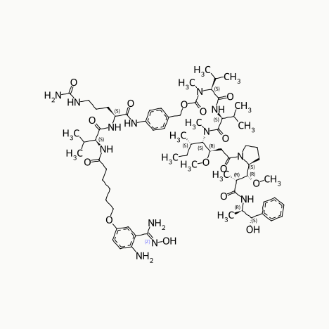 CC[C@H](C)[C@@H]([C@@H](CC(=O)N1CCC[C@H]1[C@H](OC)[C@@H](C)C(=O)N[C@H](C)[C@@H](O)c1ccccc1)OC)N(C)C(=O)[C@@H](NC(=O)[C@H](C(C)C)N(C)C(=O)OCc1ccc(NC(=O)[C@H](CCCNC(N)=O)NC(=O)[C@@H](NC(=O)CCCCCOc2ccc(N)c(/C(N)=N/O)c2)C(C)C)cc1)C(C)C